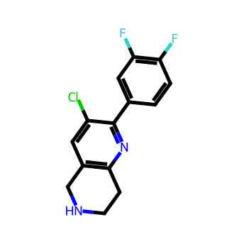 Fc1ccc(-c2nc3c(cc2Cl)CNCC3)cc1F